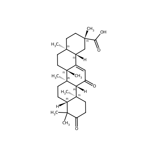 CC1(C)C(=O)CC[C@]2(C)[C@H]3C(=O)C=C4[C@H]5C[C@@](C)(C(=O)O)CC[C@]5(C)CC[C@@]4(C)[C@]3(C)CC[C@@H]12